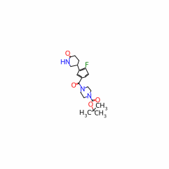 CC(C)(C)OC(=O)N1CCN(C(=O)c2ccc(F)c(C3CCC(=O)NC3)c2)CC1